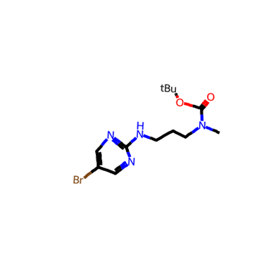 CN(CCCNc1ncc(Br)cn1)C(=O)OC(C)(C)C